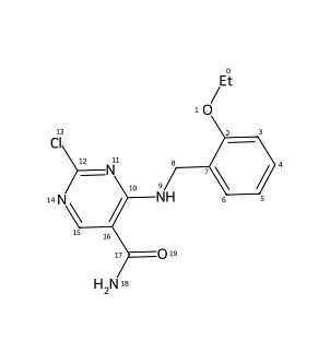 CCOc1ccccc1CNc1nc(Cl)ncc1C(N)=O